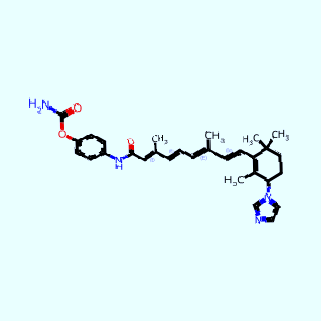 CC1=C(/C=C/C(C)=C/C=C/C(C)=C/C(=O)Nc2ccc(OC(N)=O)cc2)C(C)(C)CCC1n1ccnc1